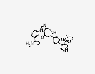 NC(=O)c1cccc(-n2cnc3c2C(=O)CC(c2ccc(-c4ccncc4S(N)(=O)=O)cc2)NC3)c1